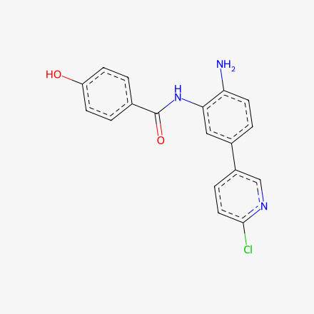 Nc1ccc(-c2ccc(Cl)nc2)cc1NC(=O)c1ccc(O)cc1